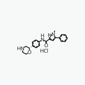 Cl.Cn1nc(C(=O)Nc2ccc([C@H]3CNCCO3)cc2)cc1-c1ccccc1